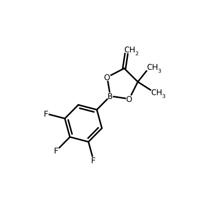 C=C1OB(c2cc(F)c(F)c(F)c2)OC1(C)C